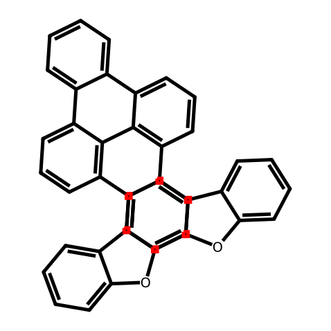 c1ccc2c(c1)oc1ccc(-c3cccc4c5ccccc5c5cccc(-c6ccc7oc8ccccc8c7c6)c5c34)cc12